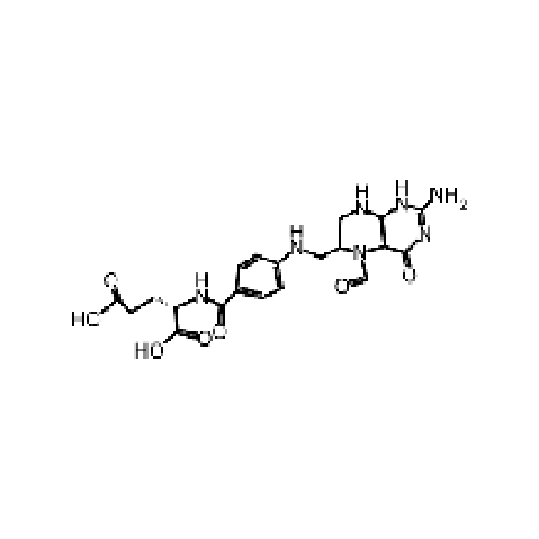 NC1=NC(=O)C2C(NCC(CNc3ccc(C(=O)N[C@@H](CCC(=O)O)C(=O)O)cc3)N2C=O)N1